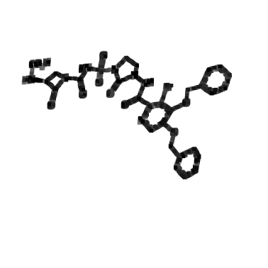 O=C(O)N[C@H]1CN(C(=O)NS(=O)(=O)N2CCN(NC(=O)c3ncc(OCc4ccccc4)c(OCc4ccccc4)c3Br)C2=O)C1=O